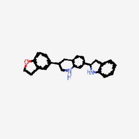 c1ccc2c(c1)CC(c1ccc3c(c1)NCC(c1ccc4c(c1)CCO4)C3)N2